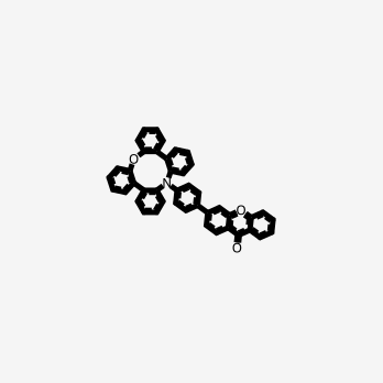 O=c1c2ccccc2oc2cc(-c3ccc(N4c5ccccc5-c5ccccc5Oc5ccccc5-c5ccccc54)cc3)ccc12